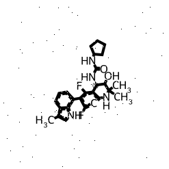 Cc1c[nH]c2c(-c3c(F)cc4c(c3F)[C@H](NC(=O)NC3CCCC3)C(O)C(C)(C)N4)cccc12